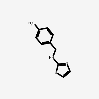 Cc1ccc(CNc2nccs2)cc1